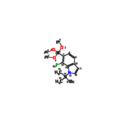 CC(C)O[B-](OC(C)C)(OC(C)C)c1ccc2ccn([Si](C)(C)C(C)(C)C)c2c1F